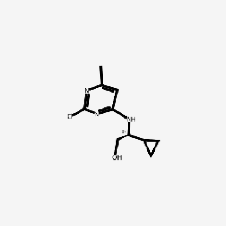 Cc1cc(N[C@H](CO)C2CC2)nc(Cl)n1